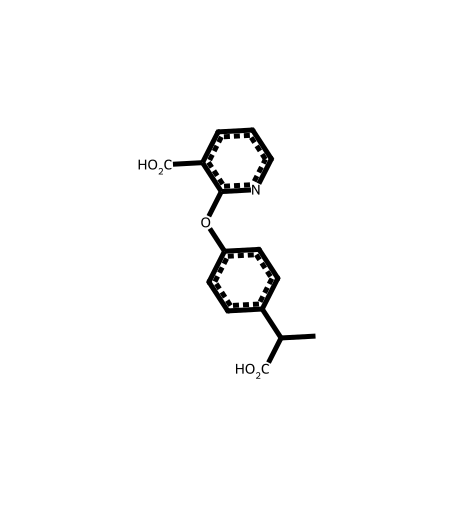 CC(C(=O)O)c1ccc(Oc2ncccc2C(=O)O)cc1